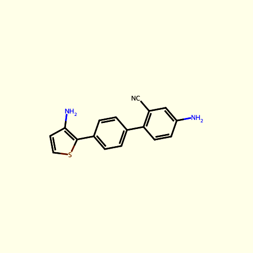 N#Cc1cc(N)ccc1-c1ccc(-c2sccc2N)cc1